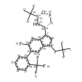 CC(C)(C)Cn1cc([C@@H](CF)N[S@@+]([O-])C(C)(C)C)c2cc(F)c(-c3ccccc3C(F)(F)F)cc21